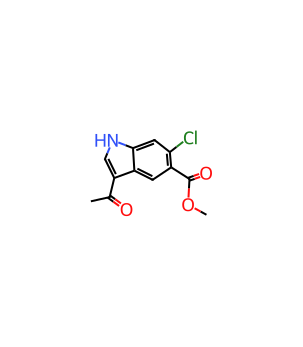 COC(=O)c1cc2c(C(C)=O)c[nH]c2cc1Cl